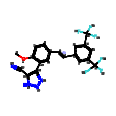 COc1ccc(/C=C/c2cc(C(F)(F)F)cc(C(F)(F)F)c2)cc1-c1nn[nH]c1C#N